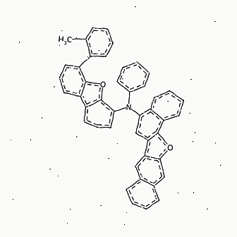 Cc1ccccc1-c1cccc2c1oc1c(N(c3ccccc3)c3cc4c5cc6ccccc6cc5oc4c4ccccc34)cccc12